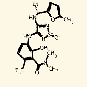 CC[C@@H](Nc1n[s+]([O-])nc1Nc1ccc(C(F)(F)F)c(C(=O)N(C)C)c1O)c1ccc(C)o1